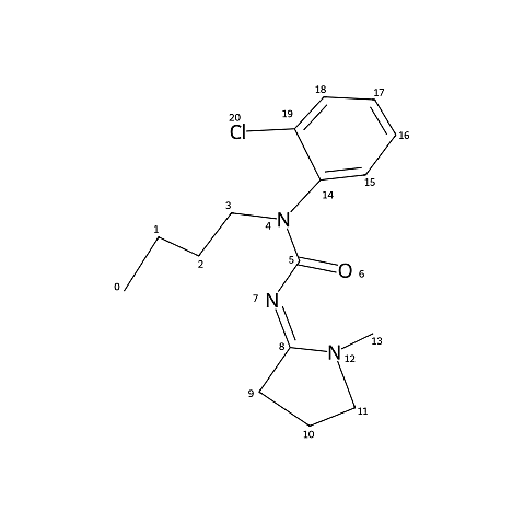 CCCCN(C(=O)/N=C1/CCCN1C)c1ccccc1Cl